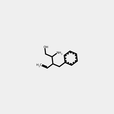 C=CC(Cc1ccccc1)C(N)CO